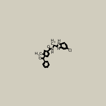 Cc1cc(C(=O)N[C@@H](C)c2nc3cc(Cl)ccc3[nH]2)ccc1C(=O)c1ccccc1